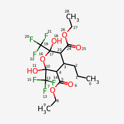 CCCC1C(C(=O)OCC)C(O)(C(F)(F)F)OC(O)(C(F)(F)F)C1C(=O)OCC